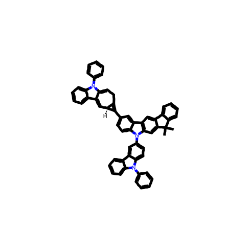 CC1(C)c2ccccc2-c2cc3c4cc(C5=C6CC=c7c(c8ccccc8n7-c7ccccc7)=C[C@@H]65)ccc4n(-c4ccc5c(c4)c4ccccc4n5-c4ccccc4)c3cc21